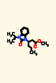 C=C(C)n1c(=O)n(C(CCC)CC(=O)OC)c2ccccc21